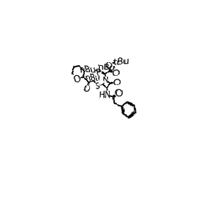 CCCCP(CCCC)(CCCC)=C(C(=O)OC(C)(C)C)N1C(=O)[C@@H](NC(=O)Cc2ccccc2)[C@H]1SCC(=O)C1CCCCO1